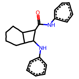 O=C(Nc1ccccc1)C1C2CCCCC2C1Nc1ccccc1